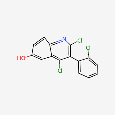 Oc1ccc2nc(Cl)c(-c3ccccc3Cl)c(Cl)c2c1